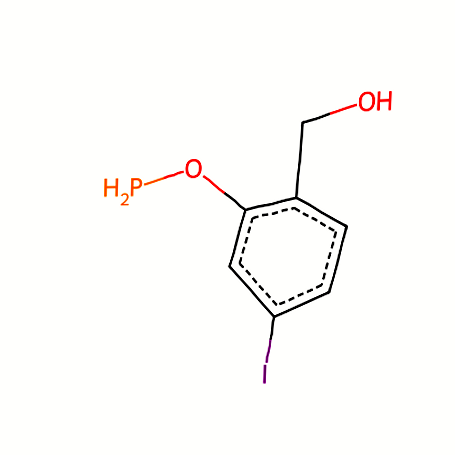 OCc1ccc(I)cc1OP